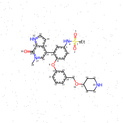 CCS(=O)(=O)Nc1ccc(Oc2cccc(COC3CCNCC3)c2)c(-c2cn(C)c(=O)c3[nH]ccc23)c1